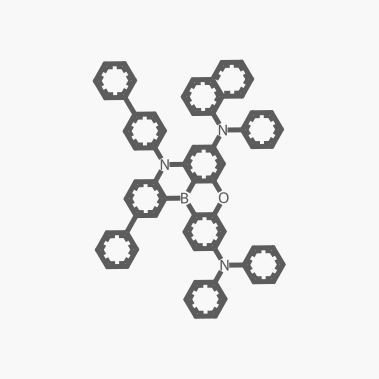 c1ccc(-c2ccc(N3c4ccc(-c5ccccc5)cc4B4c5ccc(N(c6ccccc6)c6ccccc6)cc5Oc5cc(N(c6ccccc6)c6cccc7ccccc67)cc3c54)cc2)cc1